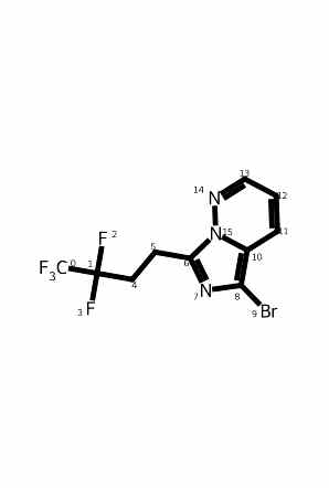 FC(F)(F)C(F)(F)CCc1nc(Br)c2cccnn12